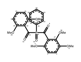 COc1ccc(OC)c(C(=O)P(=O)(C(=O)c2c(OC)cccc2OC)c2ccccc2)c1OC